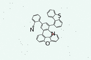 N#Cc1ccccc1-c1cc(-c2cccc3oc4ccccc4c23)c(C#N)c(-c2cccc3sc4ccccc4c23)c1